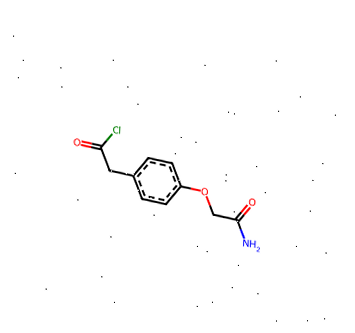 NC(=O)COc1ccc(CC(=O)Cl)cc1